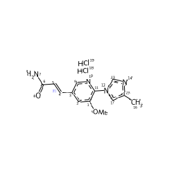 COc1cc(/C=C/C(N)=O)cnc1-n1cnc(C)c1.Cl.Cl